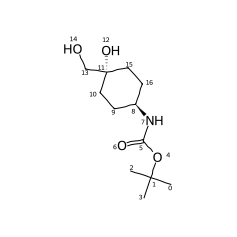 CC(C)(C)OC(=O)N[C@H]1CC[C@@](O)(CO)CC1